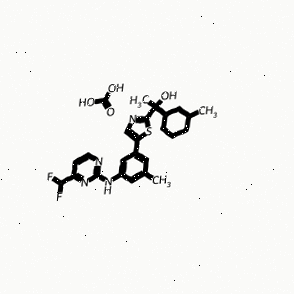 Cc1cc(Nc2nccc(C(F)F)n2)cc(-c2cnc(C(C)(O)C3CCCC(C)C3)s2)c1.O=C(O)O